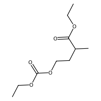 CCOC(=O)OCCC(C)C(=O)OCC